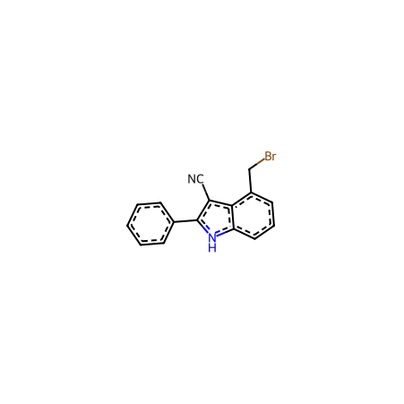 N#Cc1c(-c2ccccc2)[nH]c2cccc(CBr)c12